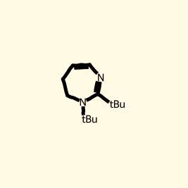 CC(C)(C)C1=NC=CCCN1C(C)(C)C